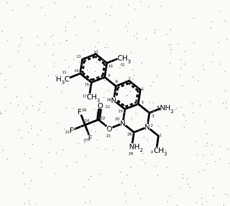 CCN1C(N)c2ccc(-c3c(C)ccc(C)c3C)nc2N(OC(=O)C(F)(F)F)C1N